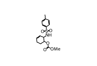 COC(=O)OC1CCC=CC1NS(=O)(=O)c1ccc(C)cc1